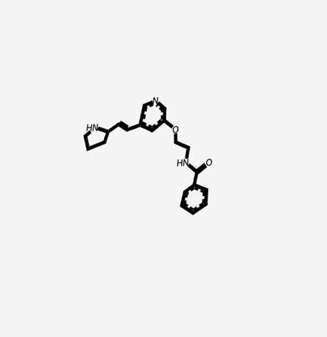 O=C(NCCOc1cncc(C=CC2CCCN2)c1)c1ccccc1